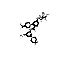 Cc1cc(NC(=O)c2ccc(NS(=O)(=O)C(C)(C)CO)cc2N2CCC(=C(F)F)CC2)nc(N2CCC(F)(F)CC2)c1